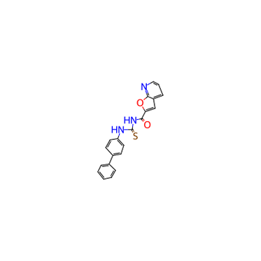 O=C(NC(=S)Nc1ccc(-c2ccccc2)cc1)c1cc2cccnc2o1